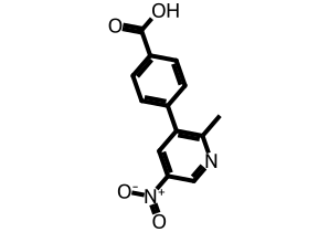 Cc1ncc([N+](=O)[O-])cc1-c1ccc(C(=O)O)cc1